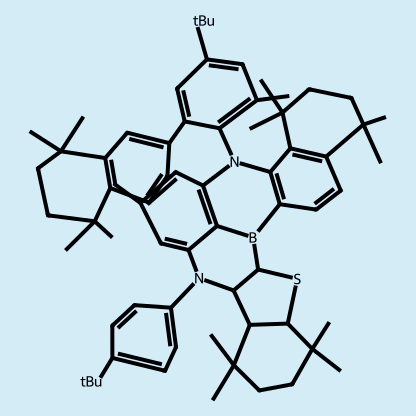 Cc1cc2c3c(c1)N(c1ccc(C(C)(C)C)cc1)C1C(SC4C1C(C)(C)CCC4(C)C)B3c1ccc3c(c1N2c1c(C)cc(C(C)(C)C)cc1-c1ccc2c(c1)C(C)(C)CCC2(C)C)C(C)(C)CCC3(C)C